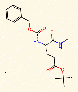 CNC(=O)[C@H](CCC(=O)OC(C)(C)C)NC(=O)OCc1ccccc1